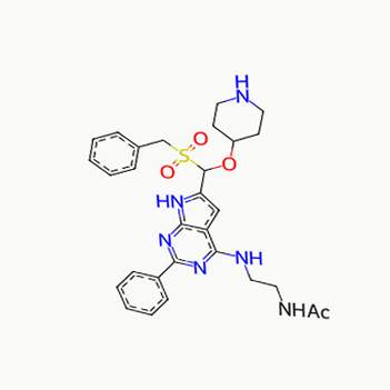 CC(=O)NCCNc1nc(-c2ccccc2)nc2[nH]c(C(OC3CCNCC3)S(=O)(=O)Cc3ccccc3)cc12